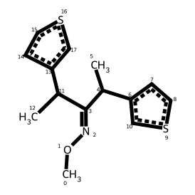 CON=C(C(C)c1ccsc1)C(C)c1ccsc1